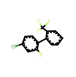 Fc1cc(Cl)ccc1-c1cc[c]cc1C(F)(F)F